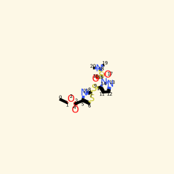 CCOC(=O)c1csc(Sc2ccnn2S(=O)(=O)N(C)C)n1